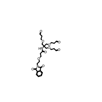 O=CCCOCC(COCCC=O)(COCCC=O)NC(=O)CCOCCN1C(=O)c2ccccc2C1=O